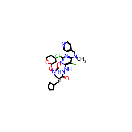 CN(Cc1ccncc1)c1nc(Cl)nc(NNC(=O)[C@@H](CC2CCCC2)CN(C=O)OC2CCCCO2)c1F